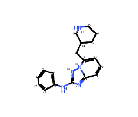 c1ccc(Nc2nc3cccc(CC4CCCNC4)n3n2)cc1